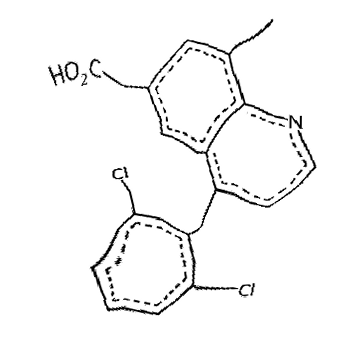 Cc1cc(C(=O)O)cc2c(-c3c(Cl)cccc3Cl)ccnc12